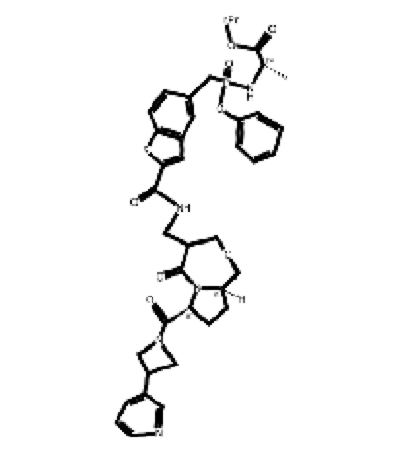 CCCOC(=O)[C@H](C)NP(=O)(Cc1ccc2sc(C(=O)NCC3CCC[C@H]4CC[C@@H](C(=O)N5CC(c6cccnc6)C5)N4C3=O)cc2c1)Oc1ccccc1